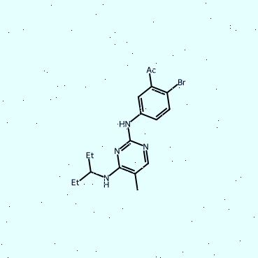 CCC(CC)Nc1nc(Nc2ccc(Br)c(C(C)=O)c2)ncc1C